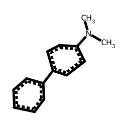 CN(C)c1ccc(-c2cc[c]cc2)cc1